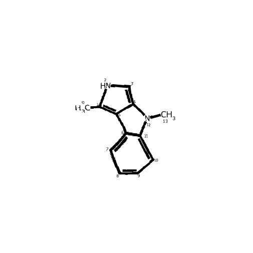 Cc1[nH]cc2c1c1ccccc1n2C